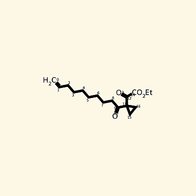 C=CCCCCCCCC(=O)C1(C(=O)C(=O)OCC)CC1